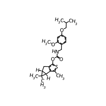 COc1cc(OCC(C)C)ccc1CNC(=O)Oc1sc(C)c2c1C[C@@H]1[C@H]2C1(C)C